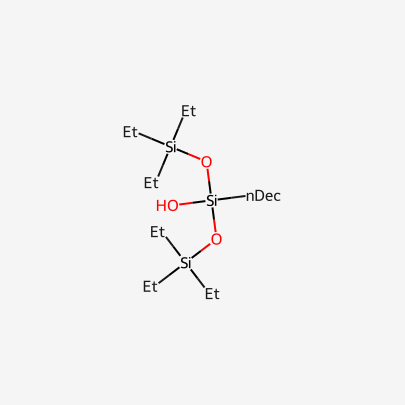 CCCCCCCCCC[Si](O)(O[Si](CC)(CC)CC)O[Si](CC)(CC)CC